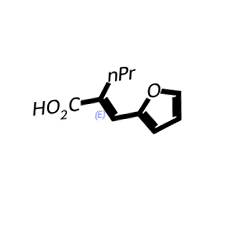 CCC/C(=C\c1ccco1)C(=O)O